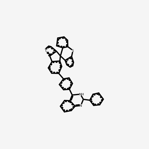 c1ccc(C2N=c3ccccc3=C(c3ccc(-c4ccc5c(c4)C4(c6ccccc6Sc6ccccc64)c4ccccc4-5)cc3)N2)cc1